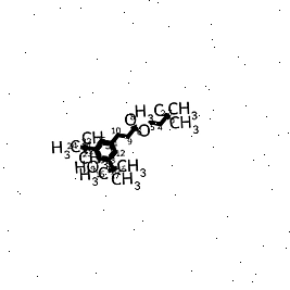 CC(C)(C)CCOC(=O)CCc1cc(C(C)(C)C)c(O)c(C(C)(C)C)c1